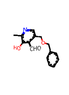 Cc1ncc(COCc2ccccc2)c(C=O)c1O